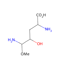 COC(N)C(O)CC(N)C(=O)O